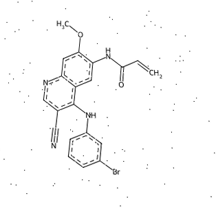 C=CC(=O)Nc1cc2c(Nc3cccc(Br)c3)c(C#N)cnc2cc1OC